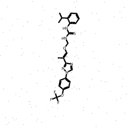 C/C(=C\OCNC(=S)Nc1ccccc1C(C)C)c1ncn(-c2ccc(OC(F)(F)F)cc2)n1